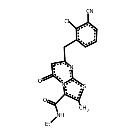 CCNC(=O)c1c(C)sc2nc(Cc3cccc(C#N)c3Cl)cc(=O)n12